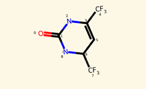 O=C1[N]C(C(F)(F)F)=CC(C(F)(F)F)[N]1